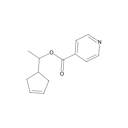 CC(OC(=O)c1ccncc1)C1CC=CC1